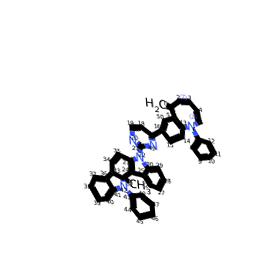 C=C1/C=C\C=C/N(c2ccccc2)c2ccc(-c3ccnc(-n4c5c(c6ccccc64)C4(C)C(C=C5)c5ccccc5N4c4ccccc4)n3)cc21